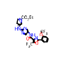 CCOC(=O)N1CC[C@H](Nc2ncc(NC(=O)c3nc(-c4ccccc4OC(F)(F)F)oc3C(F)(F)F)cn2)C1